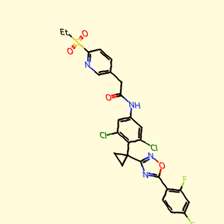 CCS(=O)(=O)c1ccc(CC(=O)Nc2cc(Cl)c(C3(c4noc(-c5ccc(F)cc5F)n4)CC3)c(Cl)c2)cn1